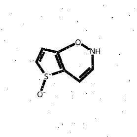 [O-][s+]1ccc2c1C=CNO2